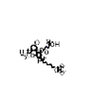 CC1(C)Oc2cc(C(F)(F)CCCCCCO[N+](=O)[O-])cc(OC(=O)/C=C/C(=O)O)c2[C@@H]2CC(=O)CC[C@H]21